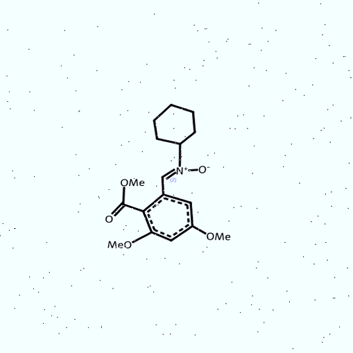 COC(=O)c1c(/C=[N+](\[O-])C2CCCCC2)cc(OC)cc1OC